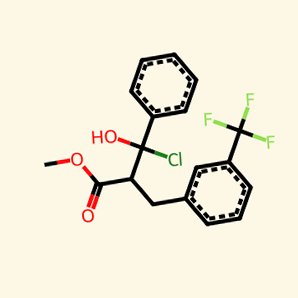 COC(=O)C(Cc1cccc(C(F)(F)F)c1)C(O)(Cl)c1ccccc1